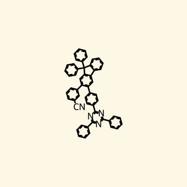 N#Cc1cccc(-c2cc3c(cc2-c2ccc(-c4nc(-c5ccccc5)nc(-c5ccccc5)n4)cc2)-c2ccccc2C3(c2ccccc2)c2ccccc2)c1